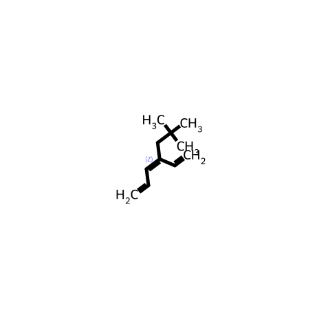 C=C/C=C(\C=C)CC(C)(C)C